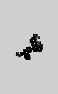 CC(c1ncccn1)N(Cc1ccc(C(F)(F)F)cn1)C(=O)c1ccc2nc(N)c3ccncc3c2c1